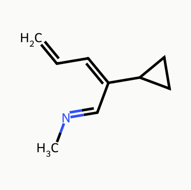 C=C/C=C(\C=NC)C1CC1